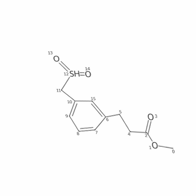 COC(=O)CCc1cccc(C[SH](=O)=O)c1